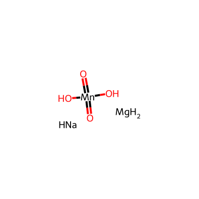 [MgH2].[NaH].[O]=[Mn](=[O])([OH])[OH]